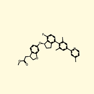 COC(=O)C[C@@H]1COc2cc(O[C@@H]3CCc4c(-c5c(C)cc(-c6cc(C)ccn6)cc5C)ccc(F)c43)ccc21